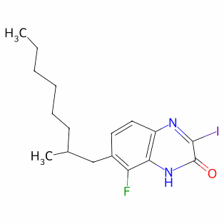 CCCCCCC(C)Cc1ccc2nc(I)c(=O)[nH]c2c1F